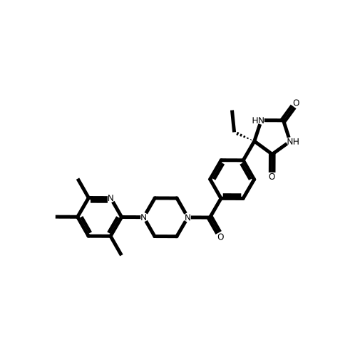 CC[C@]1(c2ccc(C(=O)N3CCN(c4nc(C)c(C)cc4C)CC3)cc2)NC(=O)NC1=O